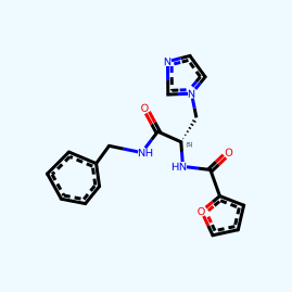 O=C(N[C@@H](Cn1ccnc1)C(=O)NCc1ccccc1)c1ccco1